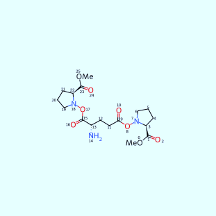 COC(=O)[C@@H]1CCCN1OC(=O)CC[C@H](N)C(=O)ON1CCC[C@H]1C(=O)OC